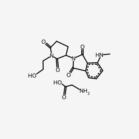 CNc1cccc2c1C(=O)N(C1CCC(=O)N(CCO)C1=O)C2=O.NCC(=O)O